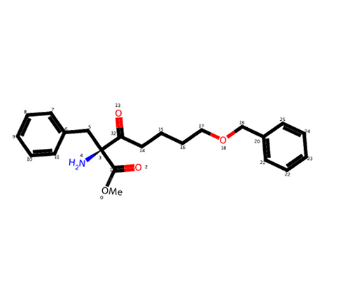 COC(=O)[C@](N)(Cc1ccccc1)C(=O)CCCCOCc1ccccc1